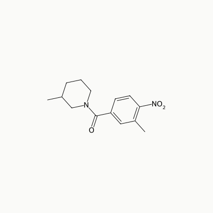 Cc1cc(C(=O)N2CCCC(C)C2)ccc1[N+](=O)[O-]